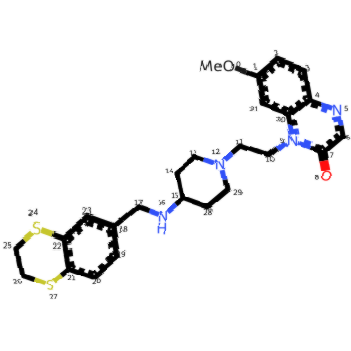 COc1ccc2ncc(=O)n(CCN3CCC(NCc4ccc5c(c4)SCCS5)CC3)c2c1